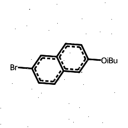 CC(C)COc1[c]c2ccc(Br)cc2cc1